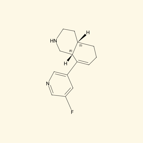 Fc1cncc(C2=CCC[C@H]3CCNC[C@@H]23)c1